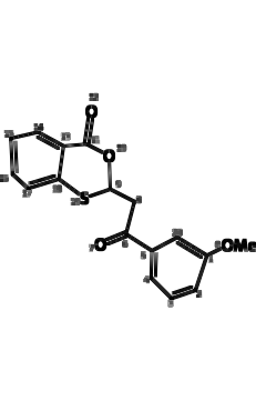 COc1cccc(C(=O)CC2OC(=O)c3ccccc3S2)c1